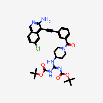 CC(C)(C)OC(=O)/N=C(\NC(=O)OC(C)(C)C)NC1CCN(C(=O)c2cccc(C#Cc3c(N)ncc4ccc(Cl)cc34)c2)CC1